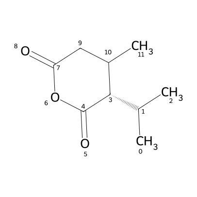 CC(C)[C@@H]1C(=O)OC(=O)CC1C